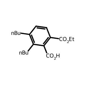 CCCCc1ccc(C(=O)OCC)c(C(=O)O)c1CCCC